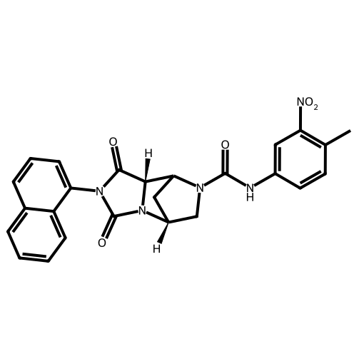 Cc1ccc(NC(=O)N2C[C@H]3CC2[C@H]2C(=O)N(c4cccc5ccccc45)C(=O)N32)cc1[N+](=O)[O-]